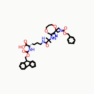 CC(C)(C(=O)NCCCC[C@H](NC(=O)OCC1c2ccccc2-c2ccccc21)C(=O)O)n1nnc2c1COCCCOC21CN(C(=O)OCc2ccccc2)C1